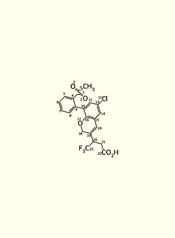 CS(=O)(=O)c1ccccc1-c1cc(Cl)cc2c1OCC(C(CC(=O)O)C(F)(F)F)=C2